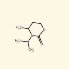 CC1CCOC(=O)N1N(C)C